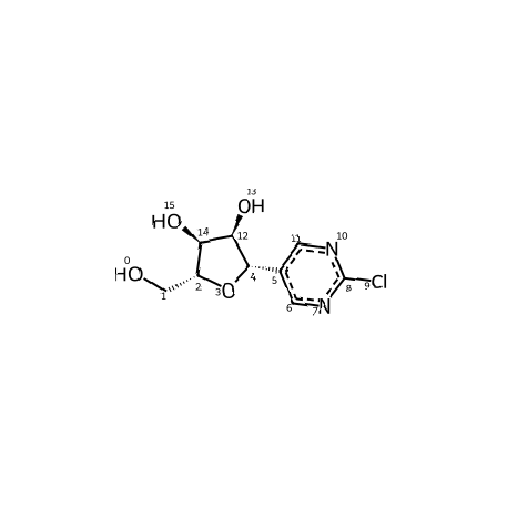 OC[C@H]1O[C@@H](c2cnc(Cl)nc2)[C@H](O)[C@@H]1O